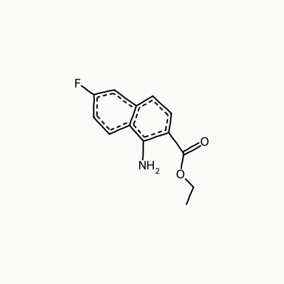 CCOC(=O)c1ccc2cc(F)ccc2c1N